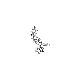 CO[C@H]1C[C@@H](S(=O)(=O)c2ccc(Oc3ccc(F)cc3)cc2Cl)C[C@@H]1C(=O)NC1(C#N)CC1